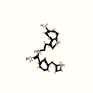 C=C(NCCc1c[nH]c2ccc(C)cc12)c1cccc(CC2=CCN2)c1